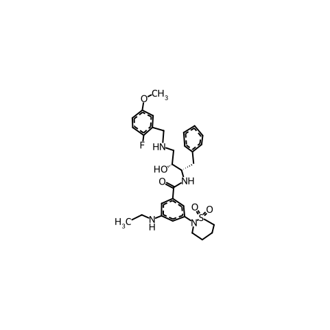 CCNc1cc(C(=O)N[C@@H](Cc2ccccc2)[C@H](O)CNCc2cc(OC)ccc2F)cc(N2CCCCS2(=O)=O)c1